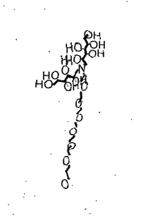 O=CCCOCCOCCOCCOCCOCCOCCN(C[C@H](O)[C@@H](O)[C@H](O)[C@H](O)CO)C[C@H](O)[C@@H](O)[C@H](O)[C@H](O)CO